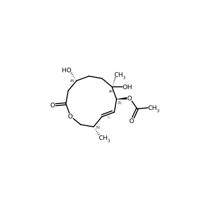 CC(=O)O[C@H]1/C=C/[C@H](C)COC(=O)C[C@H](O)CC[C@@]1(C)O